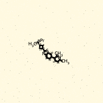 CCCN(C)C1CC(c2nc3ccc(-c4ccc(C)nc4C)cc3s2)C1